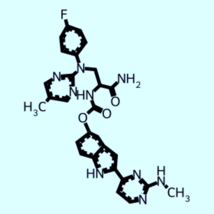 CNc1nccc(-c2cc3cc(OC(=O)NC(CN(c4ccc(F)cc4)c4ncc(C)cn4)C(N)=O)ccc3[nH]2)n1